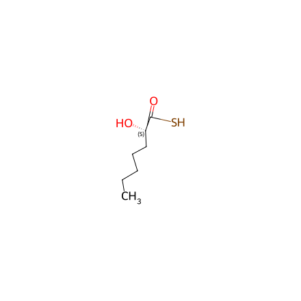 CCCCC[C@H](O)C(=O)S